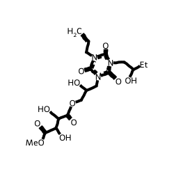 C=CCn1c(=O)n(CC(O)CC)c(=O)n(CC(O)COC(=O)C(O)C(O)C(=O)OC)c1=O